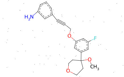 COC1(c2cc(F)cc(OCC#Cc3cccc(N)c3)c2)CCOCC1